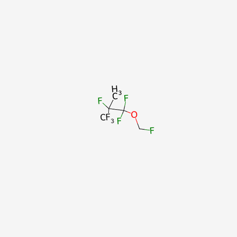 CC(F)(C(F)(F)F)C(F)(F)OCF